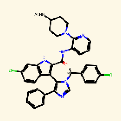 CC(=O)NC1CCN(c2ncccc2NC(=O)c2[nH]c3cc(Cl)ccc3c2-c2c(-c3ccccc3)ncn2[C@@H](C)c2ccc(Cl)cc2)CC1